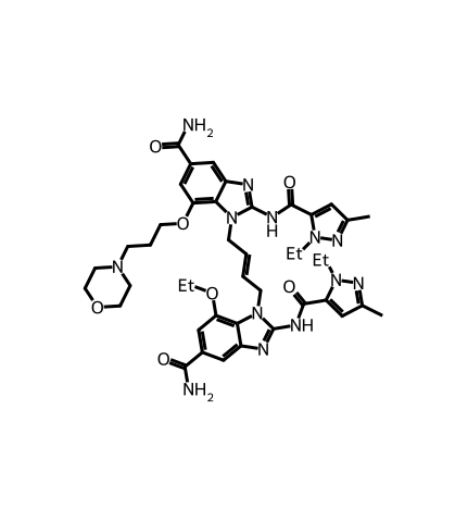 CCOc1cc(C(N)=O)cc2nc(NC(=O)c3cc(C)nn3CC)n(CC=CCn3c(NC(=O)c4cc(C)nn4CC)nc4cc(C(N)=O)cc(OCCCN5CCOCC5)c43)c12